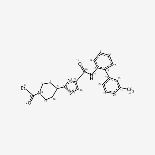 CCC(=O)N1CCC(c2nc(C(=O)Nc3ccccc3-c3cccc(C(F)(F)F)c3)cs2)CC1